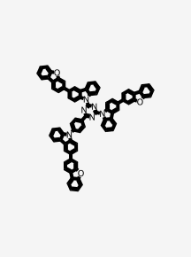 c1ccc2c(c1)oc1cc(-c3ccc4c(c3)c3ccccc3n4-c3ccc(-c4nc(-n5c6ccccc6c6cc(-c7ccc8c(c7)oc7ccccc78)ccc65)nc(-n5c6ccccc6c6cc(-c7ccc8c(c7)oc7ccccc78)ccc65)n4)cc3)ccc12